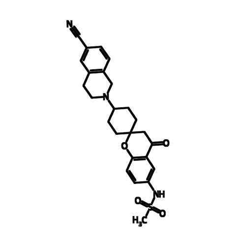 CS(=O)(=O)Nc1ccc2c(c1)C(=O)CC1(CCC(N3CCc4cc(C#N)ccc4C3)CC1)O2